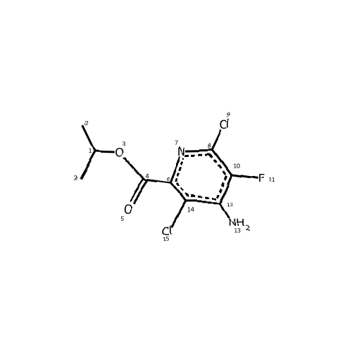 CC(C)OC(=O)c1nc(Cl)c(F)c(N)c1Cl